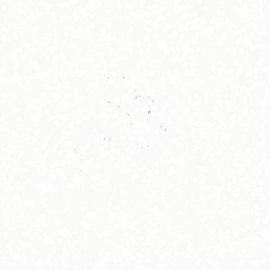 CC(CCC(=O)O)c1nc(NCc2ccc3c(c2)OCO3)c2c(n1)[nH]c1ccccc12